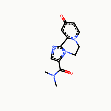 CN(C)C(=O)c1cnc2n1CCn1ccc(=O)cc1-2